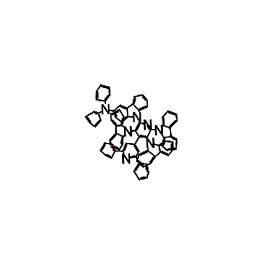 c1ccc(-c2cc(-c3c(-n4c5ccccc5c5ccccc54)c(-n4c5ccccc5c5ccccc54)nc(-n4c5ccccc5c5cc(N(c6ccccc6)c6ccccc6)ccc54)c3-n3c4ccccc4c4ccccc43)cc(-c3ccccc3)n2)cc1